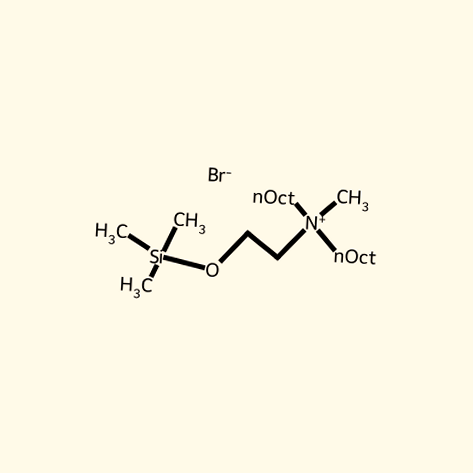 CCCCCCCC[N+](C)(CCCCCCCC)CCO[Si](C)(C)C.[Br-]